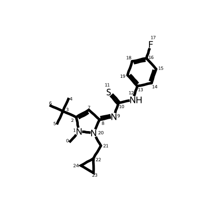 Cn1c(C(C)(C)C)c/c(=N\C(=S)Nc2ccc(F)cc2)n1CC1CC1